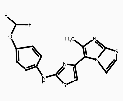 Cc1nc2sccn2c1-c1csc(Nc2ccc(OC(F)F)cc2)n1